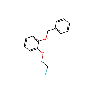 FCCOc1ccccc1OCc1ccccc1